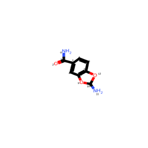 NC(=O)c1ccc2c(c1)OC(N)O2